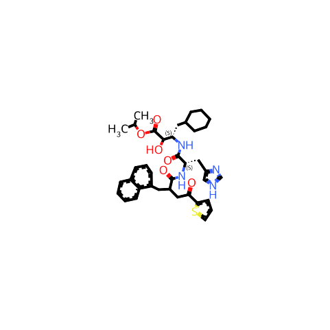 CC(C)OC(=O)C(O)[C@H](CC1CCCCC1)NC(=O)[C@H](Cc1c[nH]cn1)NC(=O)C(CC(=O)c1cccs1)Cc1cccc2ccccc12